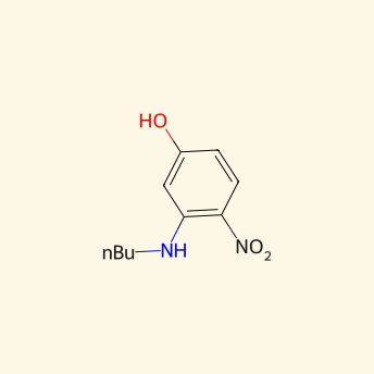 CCCCNc1cc(O)ccc1[N+](=O)[O-]